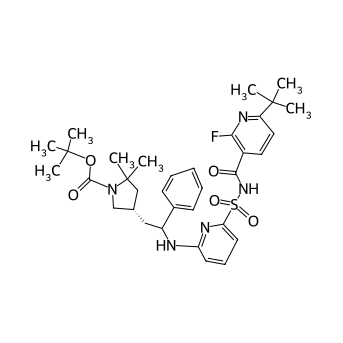 CC(C)(C)OC(=O)N1C[C@@H](CC(Nc2cccc(S(=O)(=O)NC(=O)c3ccc(C(C)(C)C)nc3F)n2)c2ccccc2)CC1(C)C